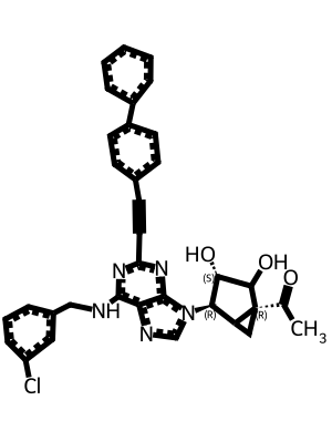 CC(=O)[C@]12CC1[C@@H](n1cnc3c(NCc4cccc(Cl)c4)nc(C#Cc4ccc(-c5ccccc5)cc4)nc31)[C@H](O)C2O